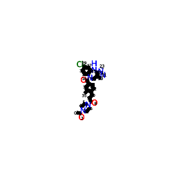 CC(=O)N1CCN(C(=O)CCc2ccc(C(=O)N3Cc4cnn(C)c4Nc4cc(Cl)ccc43)cc2C)CC1